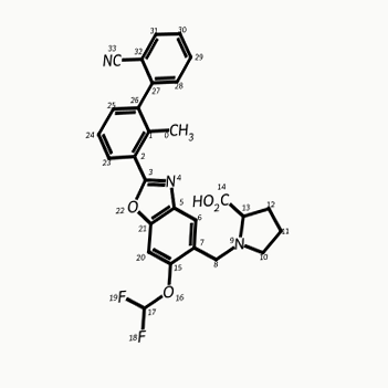 Cc1c(-c2nc3cc(CN4CCCC4C(=O)O)c(OC(F)F)cc3o2)cccc1-c1ccccc1C#N